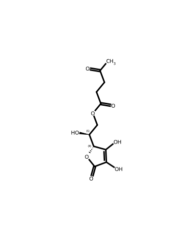 CC(=O)CCC(=O)OC[C@H](O)[C@H]1OC(=O)C(O)=C1O